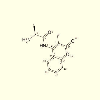 Cc1c(NC(=O)[C@H](C)N)c2ccccc2oc1=O